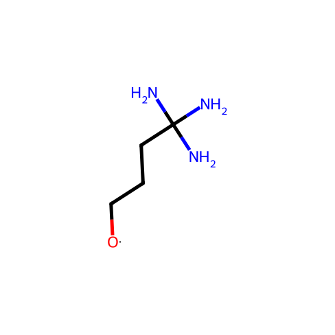 NC(N)(N)CCC[O]